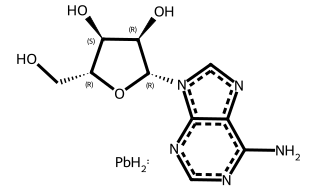 Nc1ncnc2c1ncn2[C@@H]1O[C@H](CO)[C@@H](O)[C@H]1O.[PbH2]